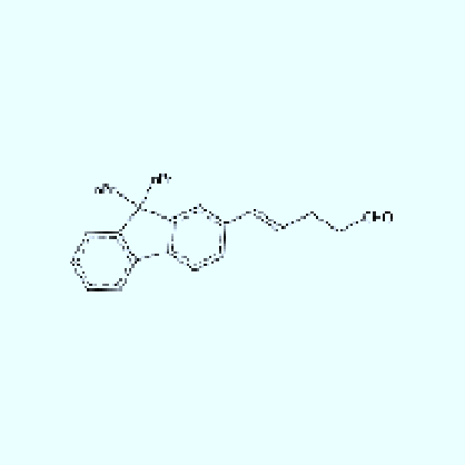 CCCC1(CCC)c2ccccc2-c2ccc(C=CCCC=O)cc21